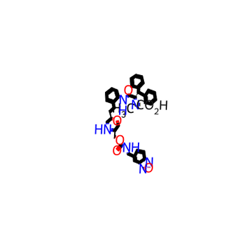 CN(C(=O)O)[C@H](C(=O)Nc1ccccc1CC[C@@H]1CN[C@H](COC(=O)NCc2ccc3nonc3c2)CO1)C(c1ccccc1)c1ccccc1